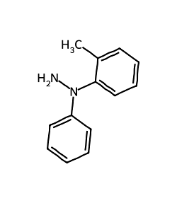 Cc1ccccc1N(N)c1ccccc1